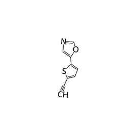 C#Cc1ccc(-c2cnco2)s1